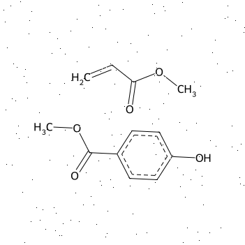 C=CC(=O)OC.COC(=O)c1ccc(O)cc1